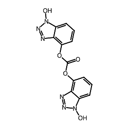 O=C(Oc1cccc2c1nnn2O)Oc1cccc2c1nnn2O